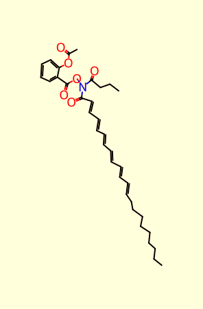 CCCCCCCCCC=CC=CC=CC=CC=CC=CC(=O)N(OC(=O)c1ccccc1OC(C)=O)C(=O)CCC